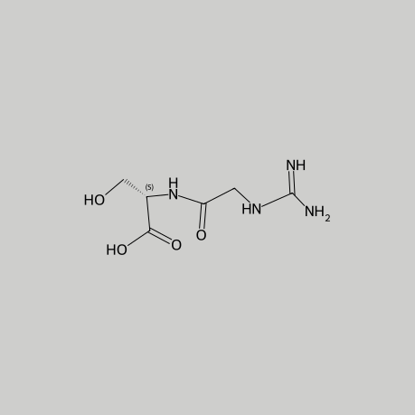 N=C(N)NCC(=O)N[C@@H](CO)C(=O)O